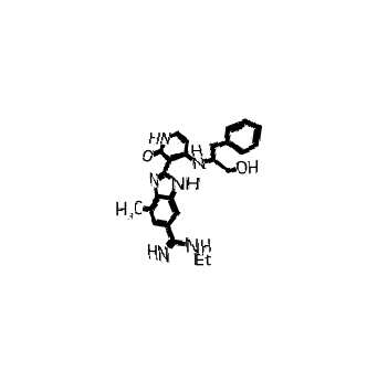 CCNC(=N)c1cc(C)c2nc(-c3c(NC(CO)Cc4ccccc4)cc[nH]c3=O)[nH]c2c1